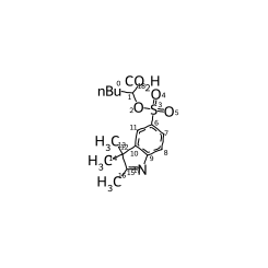 CCCCC(OS(=O)(=O)c1ccc2c(c1)C(C)(C)C(C)=N2)C(=O)O